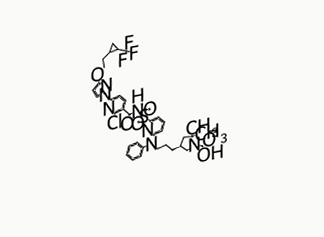 CC1(C)C[C@H](CCCN(c2ccccc2)c2cccc(S(=O)(=O)NC(=O)c3ccc(-n4ccc(OCCC5CC5C(F)(F)F)n4)nc3Cl)n2)CN1C(=O)O